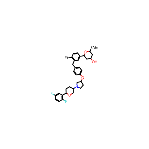 CCc1ccc(C2CC(O)CC(SC)O2)cc1Cc1ccc(OC2CCN(C3CCC(c4cc(F)ccc4F)OC3)C2)cc1